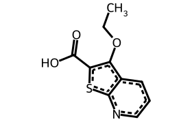 CCOc1c(C(=O)O)sc2ncccc12